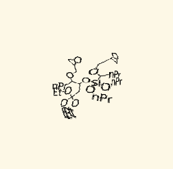 CCCO[Si](OCCC)(OC(CC(OCC)(OCC)OCC)C(CCC)OCC1CO1)C(CCC)OCC1CO1